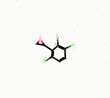 Clc1ccc(Cl)c(C2CO2)c1Cl